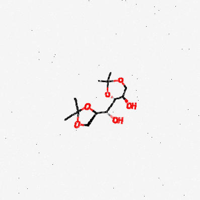 CC1(C)OC[C@@H](O)[C@H]([C@H](O)[C@H]2COC(C)(C)O2)O1